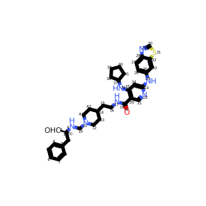 O=C[C@H](Cc1ccccc1)NCN1CCC(CCNC(=O)c2cnc(Nc3ccc4ncsc4c3)cc2NC2CCCC2)CC1